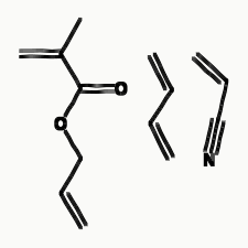 C=CC#N.C=CC=C.C=CCOC(=O)C(=C)C